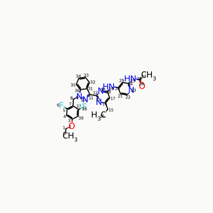 CCOc1cc(F)c(Cn2nc(-c3nc(CC)cc(Nc4ccnc(NC(C)=O)c4)n3)c3ccccc32)c(F)c1